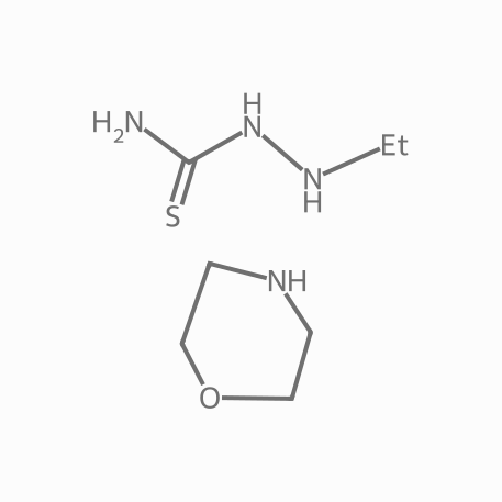 C1COCCN1.CCNNC(N)=S